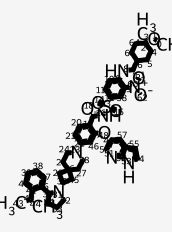 COC1(C)CCC(CNc2ccc(S(=O)(=O)NC(=O)c3ccc(N4CCC5(CC4)CC(N4CCCC4c4ccccc4C(C)C)C5)cc3Oc3cnc4[nH]ccc4c3)cc2[N+](=O)[O-])CC1